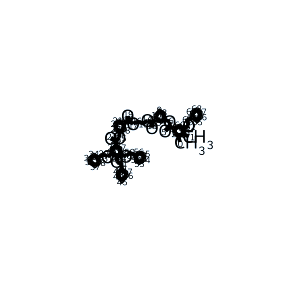 Cc1cc(C(=O)Oc2cccc(C(=O)OCCOC(=O)c3cccc(OC(=O)c4cc(OCc5ccccc5)c(OCc5ccccc5)c(OCc5ccccc5)c4)c3)c2)cc(OCc2ccccc2)c1C